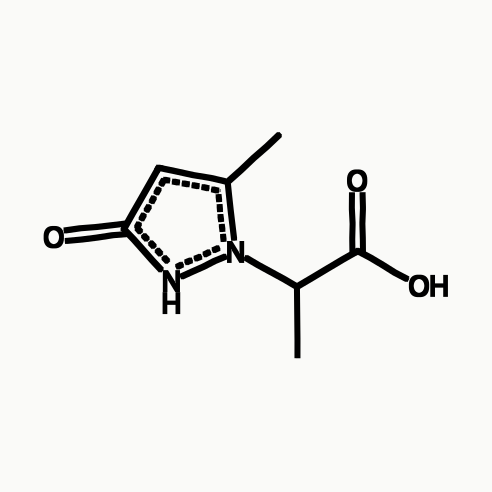 Cc1cc(=O)[nH]n1C(C)C(=O)O